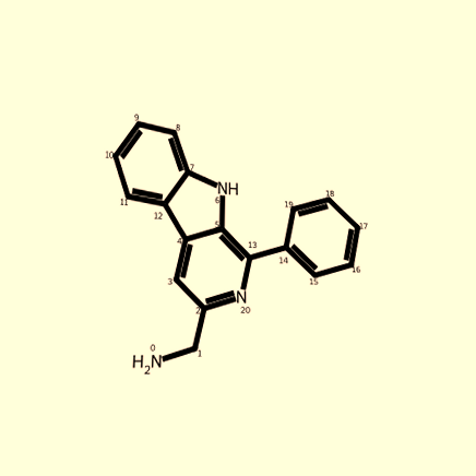 NCc1cc2c([nH]c3ccccc32)c(-c2ccccc2)n1